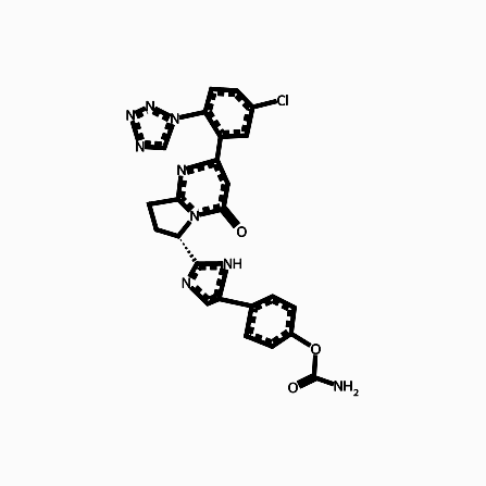 NC(=O)Oc1ccc(-c2cnc([C@@H]3CCc4nc(-c5cc(Cl)ccc5-n5cnnn5)cc(=O)n43)[nH]2)cc1